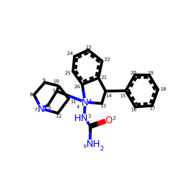 NC(=O)N[N+]1(C2CN3CCC2CC3)CC(c2ccccc2)c2ccccc21